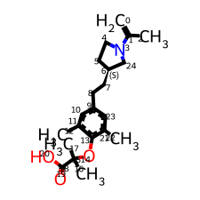 C=C(C)N1CC[C@H](CCc2cc(C)c(OC(C)(C)C(=O)O)c(C)c2)C1